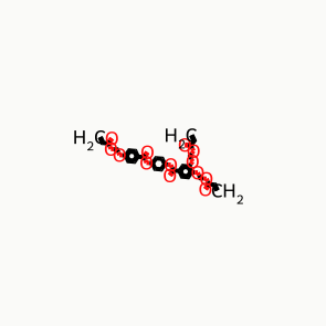 C=CC(=O)OCOc1ccc(C(=O)OC2CCC(OC(=O)c3ccc(OCOC(=O)C=C)c(OCOC(=O)C=C)c3)CC2)cc1